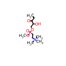 C=CC(=O)C(O)COP(=O)(CC[N+](C)(C)C)OC